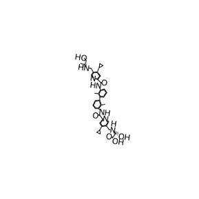 Cc1c(NC(=O)c2cc(C3CC3)c(CN[C@@H](C)CO)cn2)cccc1-c1cccc(NC(=O)c2cc(C3CC3)c(CN[C@H](CO)C(=O)O)cn2)c1C